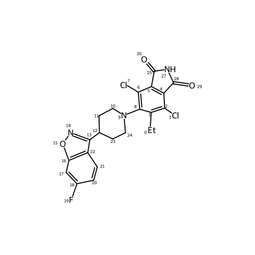 CCc1c(Cl)c2c(c(Cl)c1N1CCC(c3noc4cc(F)ccc34)CC1)C(=O)NC2=O